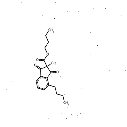 CCCCOC(=O)C1(O)C(=O)c2cccc(CCCC)c2C1=O